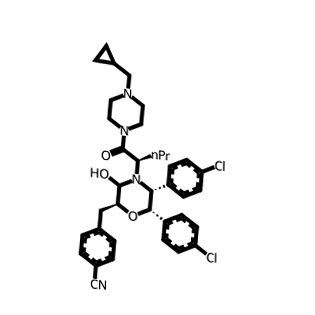 CCC[C@H](C(=O)N1CCN(CC2CC2)CC1)N1C(O)[C@H](Cc2ccc(C#N)cc2)O[C@@H](c2ccc(Cl)cc2)[C@H]1c1ccc(Cl)cc1